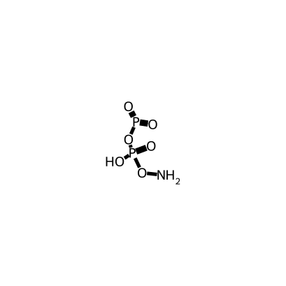 NOP(=O)(O)OP(=O)=O